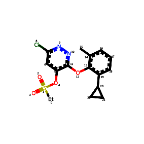 CCS(=O)(=O)Oc1cc(Cl)nnc1Oc1c(C)cccc1C1CC1